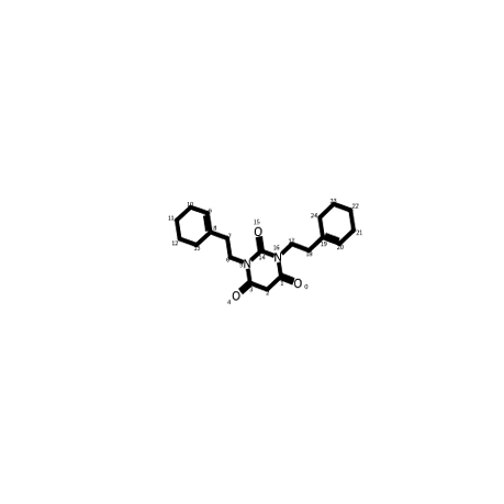 O=C1CC(=O)N(CCC2=CCCCC2)C(=O)N1CCC1=CCCCC1